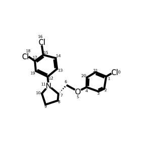 Clc1ccc(OC[C@@H]2CCCN2c2ccc(Cl)c(Cl)c2)cc1